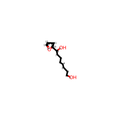 OCCCCCCCC(O)c1ccco1